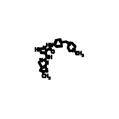 Cc1cc2cnc(Nc3c[nH]nc3C(=O)Nc3ccc(CN4CCN(C)CC4)cc3)nc2s1